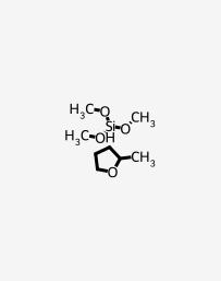 CC1CCCO1.CO[SiH](OC)OC